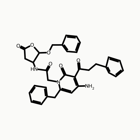 Nc1cc(Cc2ccccc2)n(CC(=O)NC2CC(=O)OC2OCc2ccccc2)c(=O)c1C(=O)CCc1ccccc1